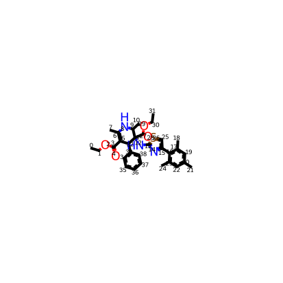 CCOC(=O)C1=C(C)NC(C)C(Nc2nc(-c3c(C)cc(C)cc3C)cs2)(C(=O)OCC)C1c1ccccc1